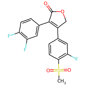 CS(=O)(=O)c1ccc(C2=C(c3ccc(F)c(F)c3)C(=O)OC2)cc1F